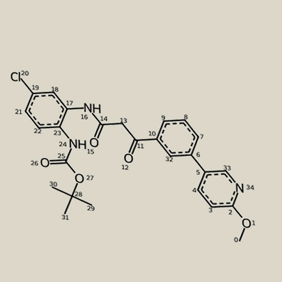 COc1ccc(-c2cccc(C(=O)CC(=O)Nc3cc(Cl)ccc3NC(=O)OC(C)(C)C)c2)cn1